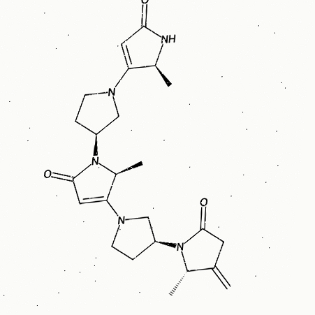 C=C1CC(=O)N([C@H]2CCN(C3=CC(=O)N([C@H]4CCN(C5=CC(=O)N[C@H]5C)C4)[C@H]3C)C2)[C@H]1C